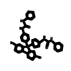 O=C(Nc1ccccc1)Nc1ccc(C2(c3ccc(NC(=O)Nc4ccccc4)cc3)c3cc(Br)ccc3-c3ccc(Br)cc32)cc1